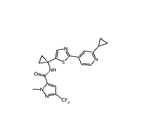 Cn1nc(C(F)(F)F)cc1C(=O)NC1(c2cnc(-c3ccnc(C4CC4)c3)s2)CC1